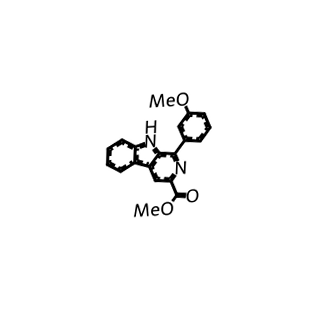 COC(=O)c1cc2c([nH]c3ccccc32)c(-c2cccc(OC)c2)n1